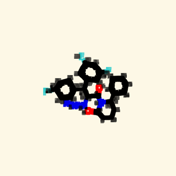 [N-]=[N+]=N[C@H](C(=O)N1C(=O)CCC[C@@H]1c1ccccc1)[C@@H](c1ccc(F)cc1)c1cc(F)cc(F)c1